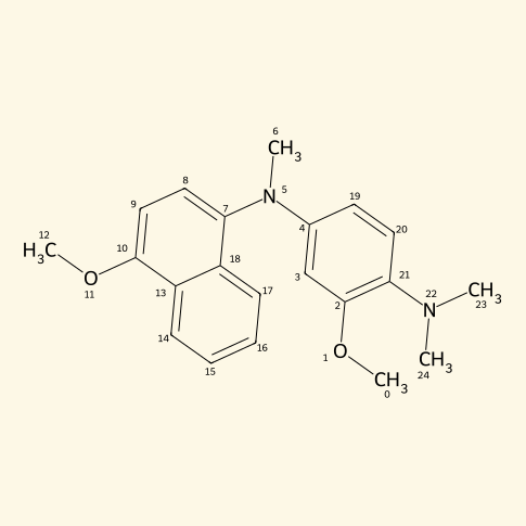 COc1cc(N(C)c2ccc(OC)c3ccccc23)ccc1N(C)C